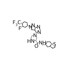 O=C(NCc1ccc2sccc2c1)C1CN(c2ncnc3nn(-c4ccc(C(F)(F)F)c(F)c4)cc23)CCN1